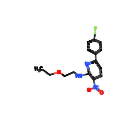 CCOCCNc1nc(-c2ccc(F)cc2)ccc1[N+](=O)[O-]